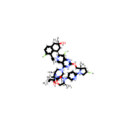 C#Cc1c(F)ccc2c1[C@H](c1ncc3c(N4C[C@H]5CC(C#N)[C@@H](C4)N5C(=O)C=C)nc(OC[C@]4(C)C[C@@H](F)CN4c4ccc(N5CCOC[C@@H]5C)cn4)nc3c1F)C[C@@](C)(O)C2